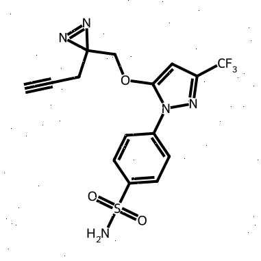 C#CCC1(COc2cc(C(F)(F)F)nn2-c2ccc(S(N)(=O)=O)cc2)N=N1